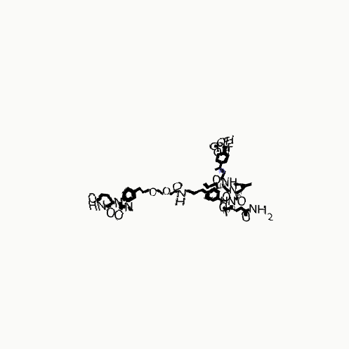 CCCC[C@H](NC(=O)/C=C(\C)c1ccc(C(F)(F)P(=O)(O)O)cc1)C(=O)N1CC2C(C)C2[C@H]1C(=O)N[C@@H](CCC(N)=O)[C@@H](C)OCc1ccc(CCCNC(=O)COCCOCCCc2ccc3c(c2)n(C)c(=O)n3C2CCC(=O)NC2=O)cc1